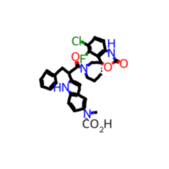 CN(C(=O)O)c1ccc2[nH]c(C(Cc3ccccc3)C(=O)N3CCC[C@@]4(C3)OC(=O)Nc3ccc(Cl)c(F)c34)cc2c1